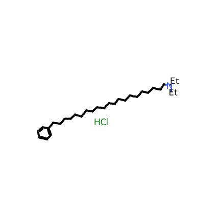 CCN(CC)CCCCCCCCCCCCCCCCCCCCCc1ccccc1.Cl